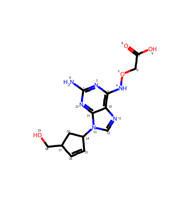 Nc1nc(NOCC(=O)O)c2ncn(C3C=CC(CO)C3)c2n1